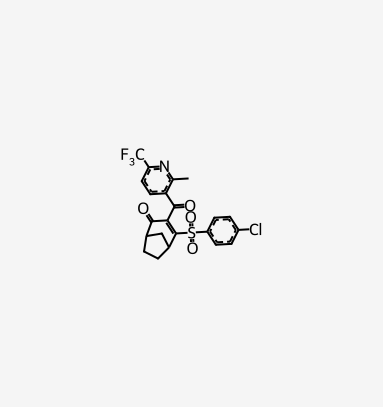 Cc1nc(C(F)(F)F)ccc1C(=O)C1=C(S(=O)(=O)c2ccc(Cl)cc2)C2CCC(C2)C1=O